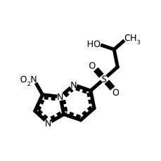 CC(O)CS(=O)(=O)c1ccc2ncc([N+](=O)[O-])n2n1